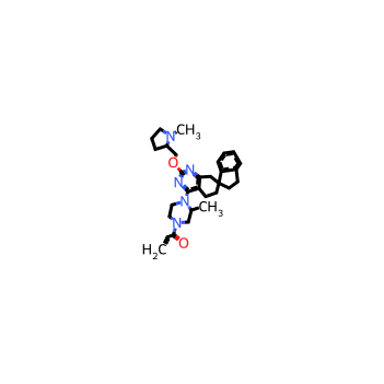 C=CC(=O)N1CCN(c2nc(OCC3CCCN3C)nc3c2CCC2(CCc4ccccc42)C3)C(C)C1